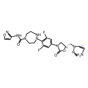 C=NN(/C=C\N)C[C@H]1CN(c2cc(F)c(N3CCN(C(=O)Nc4ccon4)CCN3)c(F)c2)C(=O)O1